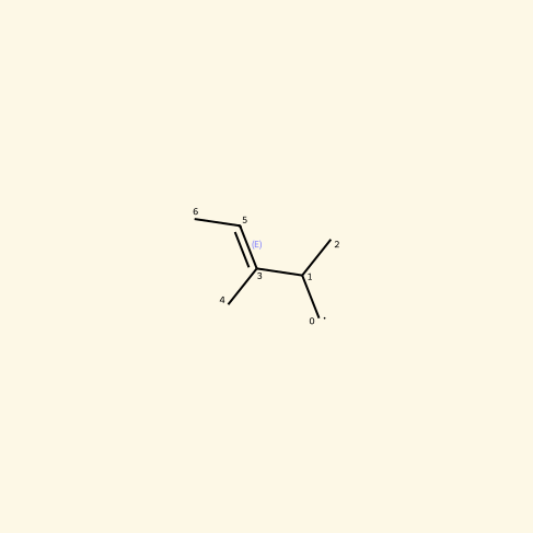 [CH2]C(C)/C(C)=C/C